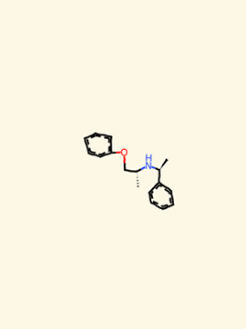 C[C@H](COc1ccccc1)N[C@@H](C)c1ccccc1